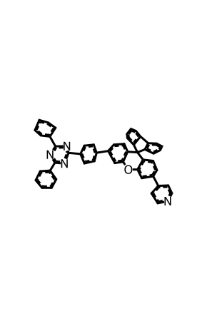 c1ccc(-c2nc(-c3ccccc3)nc(-c3ccc(-c4ccc5c(c4)Oc4cc(-c6ccncc6)ccc4C54c5ccccc5-c5ccccc54)cc3)n2)cc1